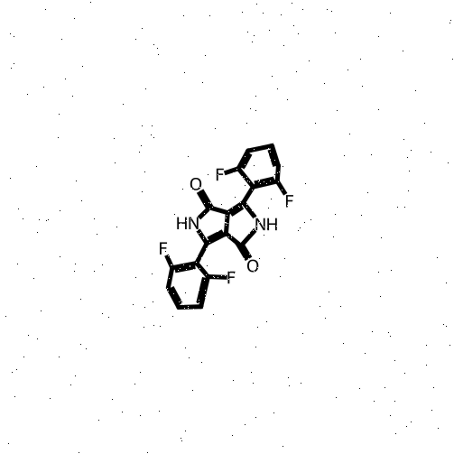 O=C1NC(c2c(F)cccc2F)=C2C(=O)NC(c3c(F)cccc3F)=C12